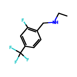 CCNCc1ccc(C(F)(F)F)cc1F